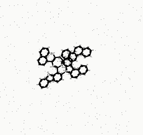 CCC1=C(c2cccc3ccccc23)N=C(c2c(-n3c4cc5ccccc5cc4c4c5ccccc5ccc43)ccc3c2oc2ccccc23)N=C(c2ccc3c(ccc4ccccc43)c2)C1